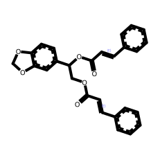 O=C(/C=C/c1ccccc1)OCC(OC(=O)/C=C/c1ccccc1)c1ccc2c(c1)OCO2